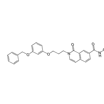 O=C(NO)c1ccc2ccn(CCCOc3cccc(OCc4ccccc4)c3)c(=O)c2c1